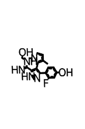 Cc1ccn(C)c1-c1c(-c2ccc(O)cc2F)n[nH]c1C(=N)NCO